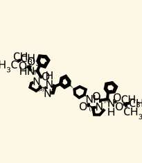 CC(C)(C)OC(=O)N[C@@H](C(=O)N1CCC[C@H]1C(=O)N[C@H]1CC[C@@H](c2cccc(-c3cnc([C@@H]4CCCN4C(=O)[C@H](NC(=O)OC(C)(C)C)c4ccccc4)[nH]3)c2)CC1)c1ccccc1